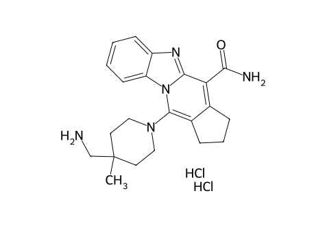 CC1(CN)CCN(c2c3c(c(C(N)=O)c4nc5ccccc5n24)CCC3)CC1.Cl.Cl